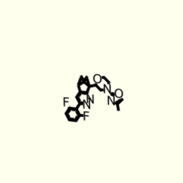 Cc1coc(N2CCOC(C34CCC(c5cc(-c6c(F)cccc6F)nnc53)C4(C)C)C2)n1